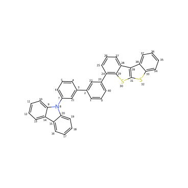 c1cc(-c2cccc(-n3c4ccccc4c4ccccc43)c2)cc(-c2cccc3c2sc2sc4ccccc4c23)c1